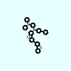 c1ccc(-c2ccc(N(c3cccc(N(c4ccccc4)c4ccccc4)c3)c3ccc4oc5ccc(-c6ccc7sc8ccccc8c7c6)cc5c4c3)cc2)cc1